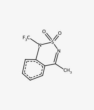 CC1=NS(=O)(=O)N(C(F)(F)F)c2ccccc21